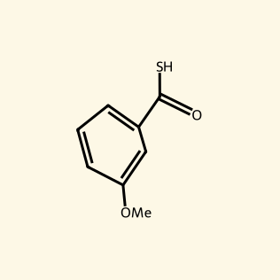 COc1cccc(C(=O)S)c1